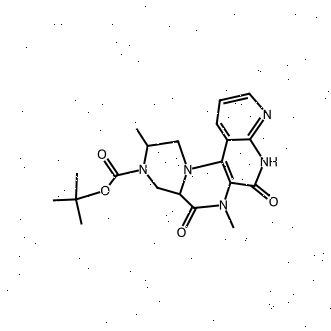 CC1CN2c3c(c(=O)[nH]c4ncccc34)N(C)C(=O)C2CN1C(=O)OC(C)(C)C